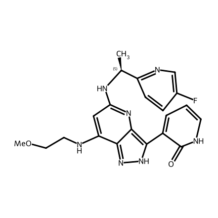 COCCNc1cc(N[C@@H](C)c2ccc(F)cn2)nc2c(-c3ccc[nH]c3=O)[nH]nc12